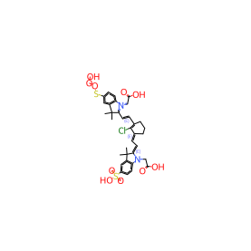 CC1(C)C(/C=C/C2=C(Cl)C(=C/C=C3/N(CC(=O)O)c4ccc(S(=O)(=O)O)cc4C3(C)C)/CCC2)=[N+](CC(=O)O)c2ccc(SOOO)cc21